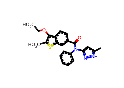 Cc1cc(N(C(=O)c2ccc3c(OCC(=O)O)c(C(=O)O)sc3c2)c2ccccc2)n[nH]1